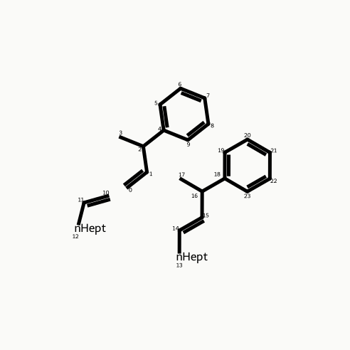 C=CC(C)c1ccccc1.C=CCCCCCCC.CCCCCCCC=CC(C)c1ccccc1